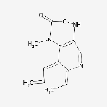 C=C/C=c1/c2c(cn/c1=C/C)NCC(=O)N2C